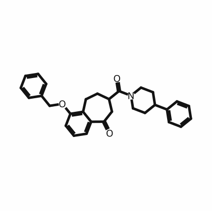 O=C1CC(C(=O)N2CCC(c3ccccc3)CC2)CCc2c(OCc3ccccc3)cccc21